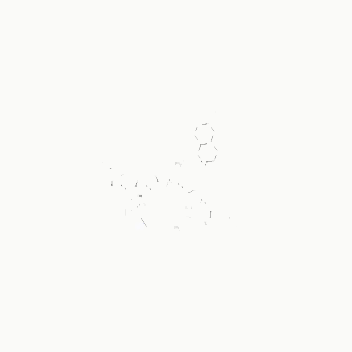 CC[C@@H]1O[C@H](C)CC/C=C\[C@@H]2C[C@@]2(C(=O)NS(=O)(=O)C2(C)CC2)NC(=O)[C@@H]2C[C@@H](Oc3nccc4cc(OC)c(F)cc34)CN2C(=O)[C@H]1NC(=O)OC(C)(C)C(F)F